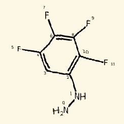 NNc1cc(F)c(F)c(F)c1F